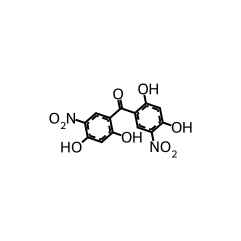 O=C(c1cc([N+](=O)[O-])c(O)cc1O)c1cc([N+](=O)[O-])c(O)cc1O